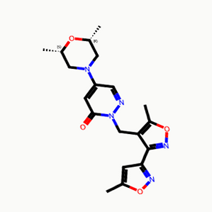 Cc1cc(-c2noc(C)c2Cn2ncc(N3C[C@@H](C)O[C@@H](C)C3)cc2=O)no1